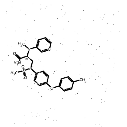 Cc1ccc(Oc2ccc(N(C[C@@H](C(N)=O)N(C)c3cccnc3)S(C)(=O)=O)cc2)cc1